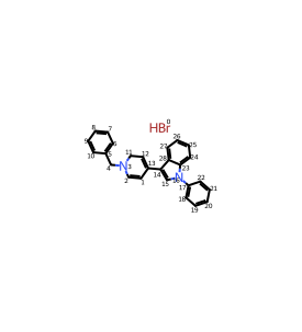 Br.C1=CN(Cc2ccccc2)CC=C1c1cn(-c2ccccc2)c2ccccc12